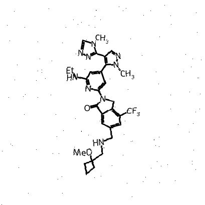 CCNc1cc(-c2c(-c3nncn3C)cnn2C)cc(N2Cc3c(cc(CNCC4(OC)CCC4)cc3C(F)(F)F)C2=O)n1